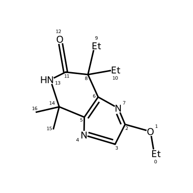 CCOc1cnc2c(n1)C(CC)(CC)C(=O)NC2(C)C